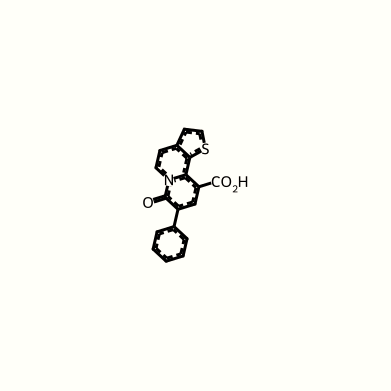 O=C(O)c1cc(-c2ccccc2)c(=O)n2ccc3ccsc3c12